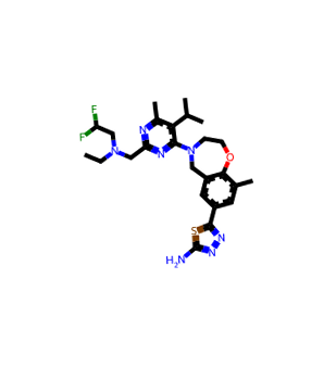 CCN(Cc1nc(C)c(C(C)C)c(N2CCOc3c(C)cc(-c4nnc(N)s4)cc3C2)n1)CC(F)F